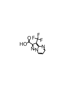 O=C(O)c1nn2cccnc2c1C(F)(F)F